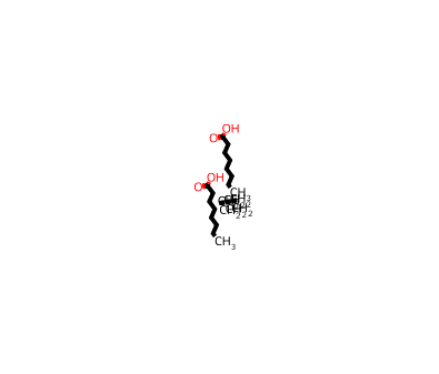 C=C.C=C.C=C.CCCCCCCC(=O)O.CCCCCCCC(=O)O